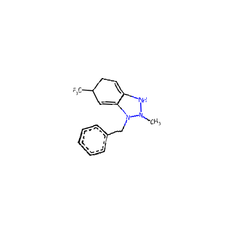 CN1NC2=CCC(C(F)(F)F)C=C2N1Cc1ccccc1